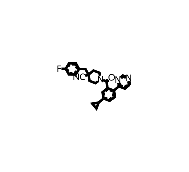 N#CC1(Cc2ccc(F)cc2)CCN(C(=O)c2cc(C3CC3)ccc2-c2ccncn2)CC1